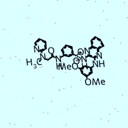 COc1cc(Nc2nc3ccccc3nc2NS(=O)(=O)c2cccc(NC(=O)CN(C)c3ccccn3)c2)cc(OC)c1